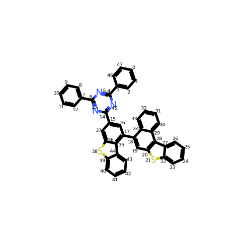 c1ccc(-c2nc(-c3ccccc3)nc(-c3cc(-c4cc5sc6ccccc6c5c5ccccc45)c4c(c3)sc3ccccc34)n2)cc1